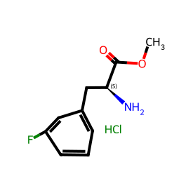 COC(=O)[C@@H](N)Cc1cccc(F)c1.Cl